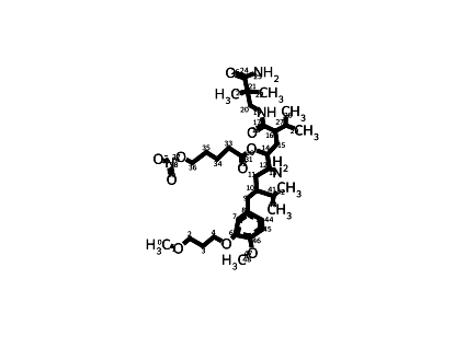 COCCCOc1cc(CC(CC(N)C(CC(C(=O)NCC(C)(C)C(N)=O)C(C)C)OC(=O)CCCCO[N+](=O)[O-])C(C)C)ccc1OC